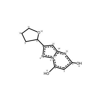 Oc1cc(O)n2nc(C3CCCO3)cc2n1